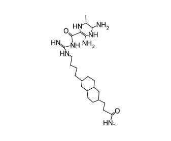 CNC(=O)CCC1CCC2CC(CCCCNC(=N)NC(=O)C3=C(N)NC(N)C(C)N3)CCC2C1